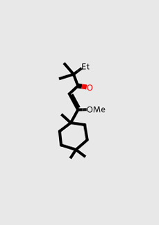 CCC(C)(C)C(=O)/C=C(\OC)C1(C)CCC(C)(C)CC1